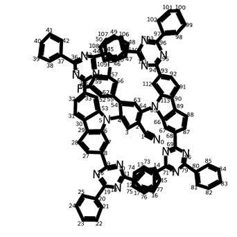 N#Cc1cc(-n2c3cc(-c4nc(-c5ccccc5)nc(-c5ccccc5)n4)ccc3c3ccc(-c4nc(-c5ccccc5)nc(-c5ccccc5)n4)cc32)c(-c2cc(F)cc(F)c2)cc1-n1c2cc(-c3nc(-c4ccccc4)nc(-c4ccccc4)n3)ccc2c2ccc(-c3nc(-c4ccccc4)nc(-c4ccccc4)n3)cc21